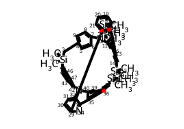 C[Si]1(C)Cc2ccc(cc2)-n2c3ccc4cc3c3cc(ccc32)[Si](C)(C)[Si](C)(C)c2ccc3c(n2)c2cc(ccc2n3-c2ccc1cc2)[Si](C)(C)[Si]4(C)C